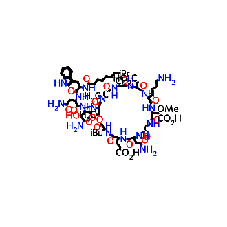 CCC(C)C1NC(=O)C(CCC(=O)O)NC(=O)C(CC(N)=O)NC(=O)CNC(=O)C(C(OC)C(=O)O)NC(=O)C(CCCCN)NC(=O)C(CC(=O)O)NC(=O)C(C)NC(=O)CN(C)C(=O)C(NC(=O)C(NC(=O)C(CC(N)=O)NC(=O)C(Cc2c[nH]c3ccccc23)NC(=O)CCCCCCC(C)C)C(O)C(N)=O)C(C)OC1=O